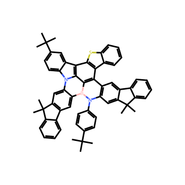 CC(C)(C)c1ccc(N2B3c4cc5c(cc4-n4c6ccc(C(C)(C)C)cc6c6c7sc8ccccc8c7c(c3c64)-c3cc4c(cc32)C(C)(C)c2ccccc2-4)C(C)(C)c2ccccc2-5)cc1